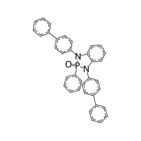 O=P1(c2ccccc2)N(c2ccc(-c3ccccc3)cc2)c2ccccc2N1c1ccc(-c2ccccc2)cc1